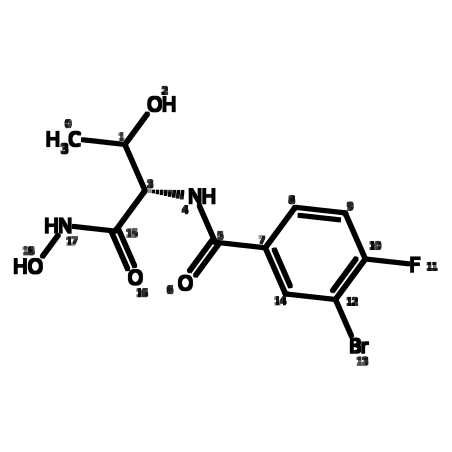 CC(O)[C@H](NC(=O)c1ccc(F)c(Br)c1)C(=O)NO